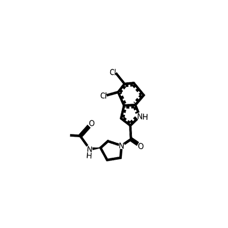 CC(=O)N[C@@H]1CCN(C(=O)c2cc3c(Cl)c(Cl)ccc3[nH]2)C1